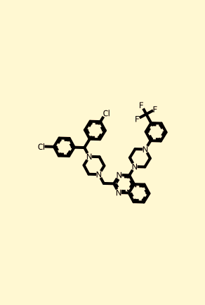 FC(F)(F)c1cccc(N2CCN(c3nc(CN4CCN(C(c5ccc(Cl)cc5)c5ccc(Cl)cc5)CC4)nc4ccccc34)CC2)c1